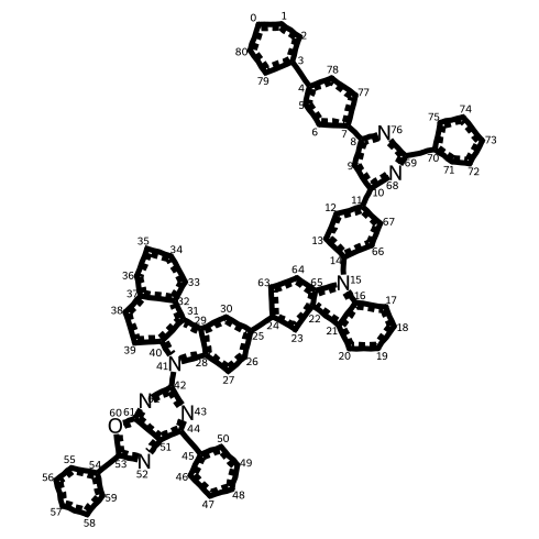 c1ccc(-c2ccc(-c3cc(-c4ccc(-n5c6ccccc6c6cc(-c7ccc8c(c7)c7c9ccccc9ccc7n8-c7nc(-c8ccccc8)c8nc(-c9ccccc9)oc8n7)ccc65)cc4)nc(-c4ccccc4)n3)cc2)cc1